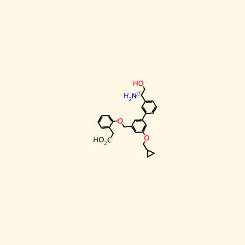 N[C@H](CO)c1cccc(-c2cc(COc3ccccc3CC(=O)O)cc(OCC3CC3)c2)c1